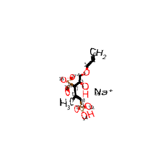 C=CCOCC(O)C(C(C)CS(=O)(=O)O)S(=O)(=O)[O-].[Na+]